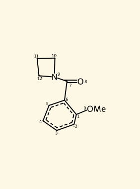 COc1[c]cccc1C(=O)N1CCC1